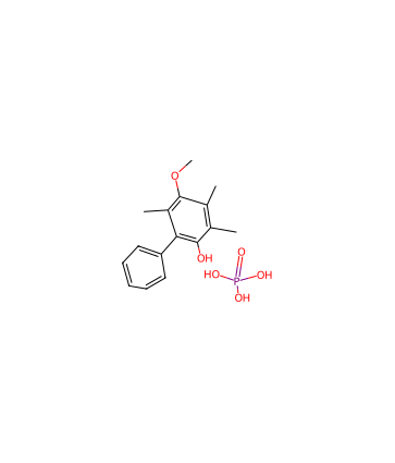 COc1c(C)c(C)c(O)c(-c2ccccc2)c1C.O=P(O)(O)O